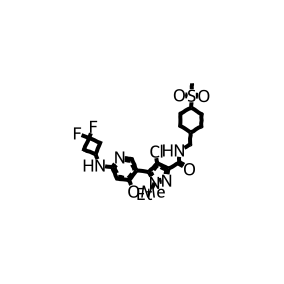 CCn1nc(C(=O)NCC2CCC(S(C)(=O)=O)CC2)c(Cl)c1-c1cnc(NC2CC(F)(F)C2)cc1OC